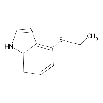 C[CH]Sc1cccc2[nH]cnc12